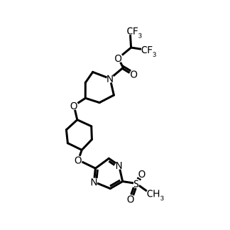 CS(=O)(=O)c1cnc(OC2CCC(OC3CCN(C(=O)OC(C(F)(F)F)C(F)(F)F)CC3)CC2)cn1